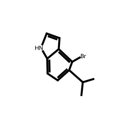 CC(C)c1ccc2[nH]ccc2c1Br